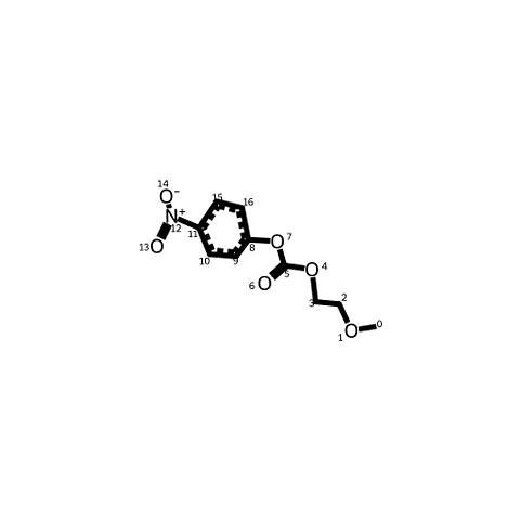 COCCOC(=O)Oc1ccc([N+](=O)[O-])cc1